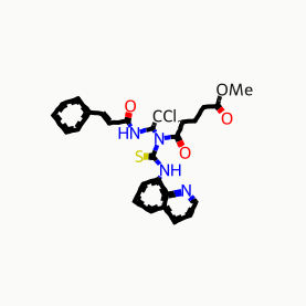 COC(=O)CCCC(=O)N(C(=S)Nc1cccc2cccnc12)C(NC(=O)/C=C/c1ccccc1)C(Cl)(Cl)Cl